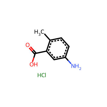 Cc1ccc(N)cc1C(=O)O.Cl